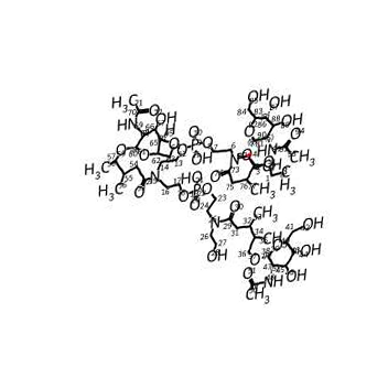 CCOCCN(CCOP(=O)(O)OCCN(CCOP(=O)(O)OCCN(CCO)C(=O)CC(C)C(C)CO[C@@H]1OC(CO)[C@H](O)C(O)[C@@H]1NC(C)=O)C(=O)CC(C)C(C)O[C@@H]1OC2CO[C@@H]2C(O)[C@@H]1NC(C)=O)C(=O)CC(C)C(C)O[C@@H]1OC(CO)[C@H](O)C(O)[C@@H]1NC(C)=O